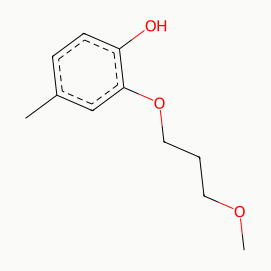 COCCCOc1cc(C)ccc1O